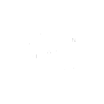 N#Cc1ccccc1COc1cc[c]cc1Cl